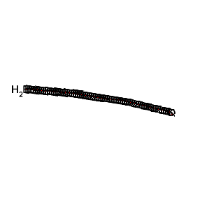 BB=BB=BB=BB=BB=BB=BB=BB=BB=BB=BB=BB=BB=BB=BB=BB=BB=BB=BB=BB=BB=BB=BB=BB=BB=BB=BB=BB=BB=BB=BB=BB=BB=BB=BB=BB=BOCCC